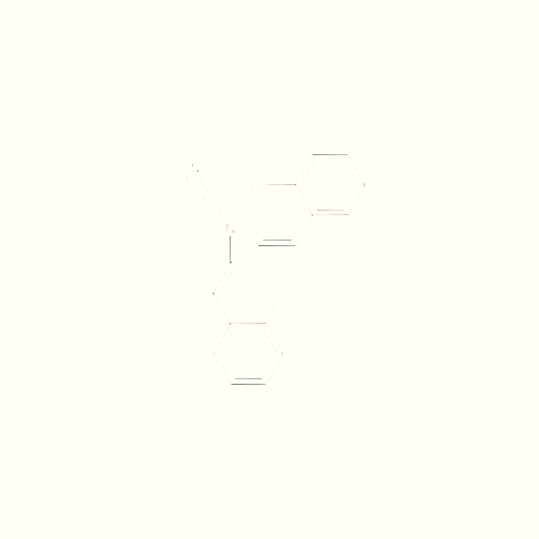 [NH2][Co][N]1C(=Cc2ccccc2O)C1=Cc1ccccc1O